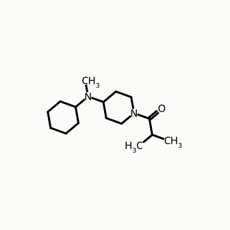 CC(C)C(=O)N1CCC(N(C)C2CCCCC2)CC1